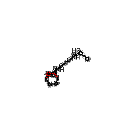 O=C(COc1cc(/C=C/c2ccccc2)ccc1O)NCCOCCOCCOCCNC(=O)c1cc2nc(c1)-c1cccc(n1)CN1Cc3cccc(n3)-c3cccc(n3)CN(Cc3cccc(n3)-c3cccc(n3)C1)C2